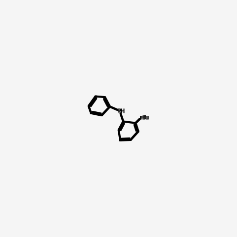 CCCCc1ccccc1Pc1ccccc1